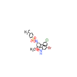 CO[C@H]1C/C(=N\OS(=O)(=O)c2ccc(C)cc2)C[C@@H](c2cccc(Cl)c2)[C@]12C(=O)Nc1cc(Br)ccc12